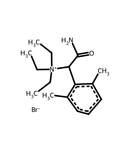 CC[N+](CC)(CC)C(C(N)=O)c1c(C)cccc1C.[Br-]